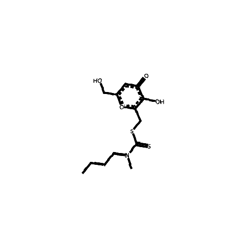 CCCCN(C)C(=S)SCc1oc(CO)cc(=O)c1O